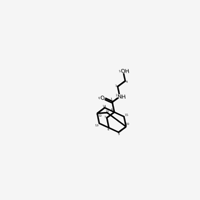 O=C(NCCO)C12CC3CC(CC(C3)C1)C2